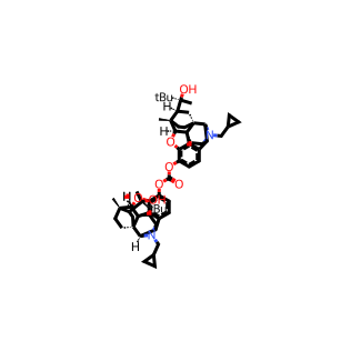 CC(C)(C)[C@@](C)(O)[C@H]1C[C@@]23CC[C@]1(C)[C@@H]1Oc4c(OC(=O)Oc5ccc6c7c5O[C@H]5[C@@]8(C)CC[C@@]9(C[C@@H]8[C@](C)(O)C(C)(C)C)[C@@H](C6)N(CC6CC6)CC[C@]759)ccc5c4[C@@]12CCN(CC1CC1)C3C5